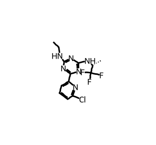 CCNc1nc(N[C@H](C)C(F)(F)F)nc(-c2cccc(Cl)n2)n1